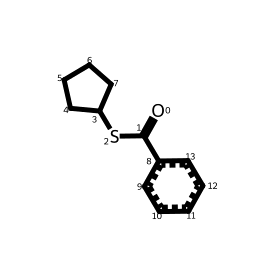 O=C(SC1CCCC1)c1ccccc1